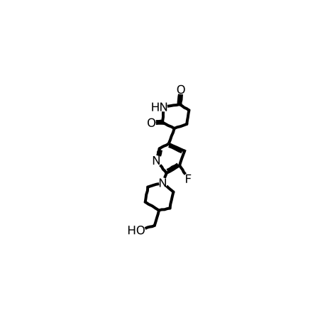 O=C1CCC(c2cnc(N3CCC(CO)CC3)c(F)c2)C(=O)N1